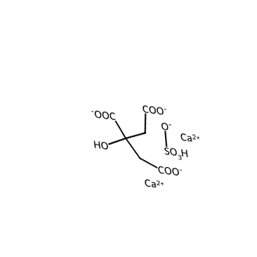 O=C([O-])CC(O)(CC(=O)[O-])C(=O)[O-].O=S(=O)([O-])O.[Ca+2].[Ca+2]